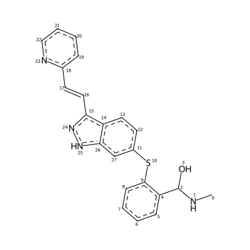 CNC(O)c1ccccc1Sc1ccc2c(/C=C/c3ccccn3)n[nH]c2c1